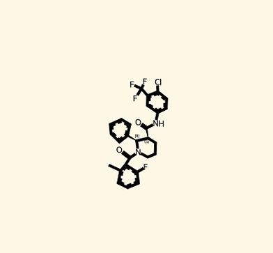 Cc1cccc(F)c1C(=O)N1CCC[C@H](C(=O)Nc2ccc(Cl)c(C(F)(F)F)c2)[C@@H]1c1ccccc1